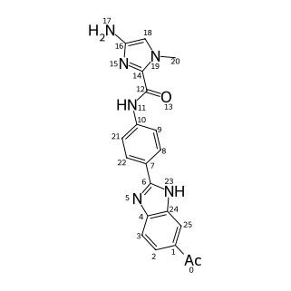 CC(=O)c1ccc2nc(-c3ccc(NC(=O)c4nc(N)cn4C)cc3)[nH]c2c1